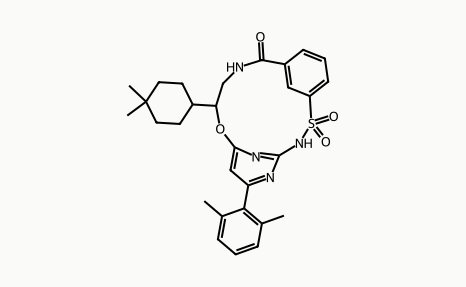 Cc1cccc(C)c1-c1cc2nc(n1)NS(=O)(=O)c1cccc(c1)C(=O)NCC(C1CCC(C)(C)CC1)O2